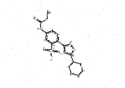 CC(C)OC(=O)Nc1ccc(-c2nnc(C3CCCCC3)s2)c(S(=O)(=O)C(C)C)c1